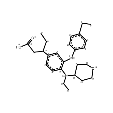 CCc1ccc(Nc2cc(C(CC)CC(=O)O)ccc2N(CC)C2CCOCC2)cc1